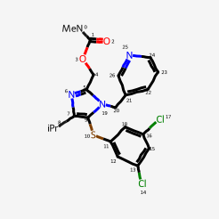 CNC(=O)OCc1nc(C(C)C)c(Sc2cc(Cl)cc(Cl)c2)n1Cc1cccnc1